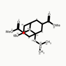 COC(=O)CN1C2CC(C(=O)OC)CC1(O[SiH](C)C)CC(C(C)(C)C)C2